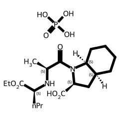 CCC[C@H](N[C@@H](C)C(=O)N1[C@H](C(=O)O)C[C@@H]2CCCC[C@@H]21)C(=O)OCC.O=P(O)(O)O